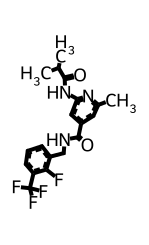 Cc1cc(C(=O)NCc2cccc(C(F)(F)F)c2F)cc(NC(=O)C(C)C)n1